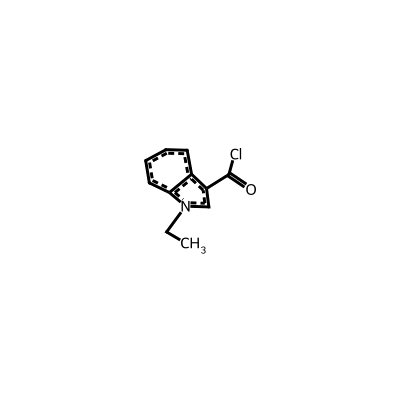 CCn1cc(C(=O)Cl)c2ccccc21